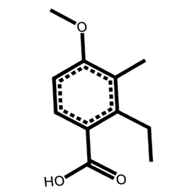 CCc1c(C(=O)O)ccc(OC)c1C